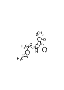 COC1=CC(=O)C2C(=C1)C1=CN(CC(=O)N(C)c3ccc4nc(C)oc4c3)NC=C1N2Cc1ccc(F)cc1